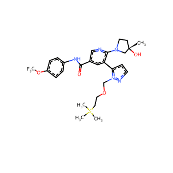 C[C@]1(O)CCN(c2ncc(C(=O)Nc3ccc(OC(F)(F)F)cc3)cc2-c2ccnn2COCCS(C)(C)C)C1